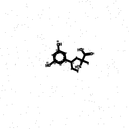 CCC(CC(C)(N)C(=O)O)c1cc(O)cc(O)c1